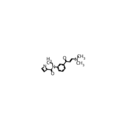 CCN(C(=O)C1=NC=C1)c1cccc(C(=O)C=CN(C)C)c1